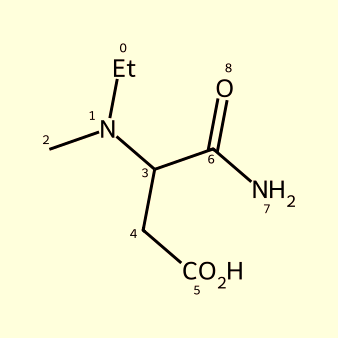 CCN(C)C(CC(=O)O)C(N)=O